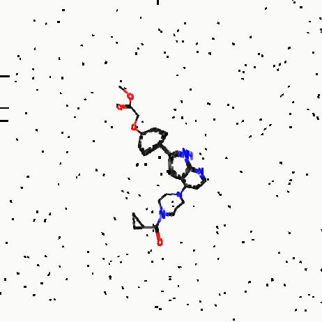 COC(=O)COc1ccc(-c2cc3c(N4CCN(C(=O)C5CC5)CC4)ccnc3[nH]2)cc1